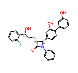 O=C1[C@H](CC[C@H](O)c2ccccc2F)[C@@H](c2ccc(-c3cccc(O)c3)c(O)c2)N1c1ccccc1